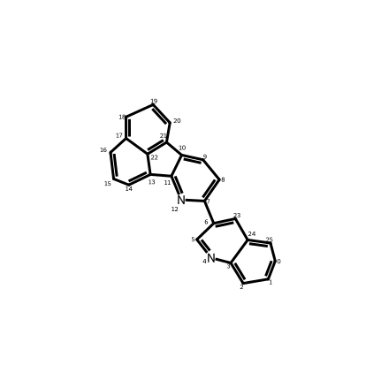 c1ccc2ncc(-c3ccc4c(n3)-c3cccc5cccc-4c35)cc2c1